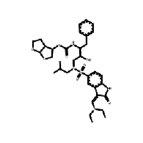 CCN(/C=C1\C(=O)Nc2ccc(S(=O)(=O)N(CC(C)C)CC(O)C(Cc3ccccc3)NC(=O)OC3COC4OCCC34)cc21)CC